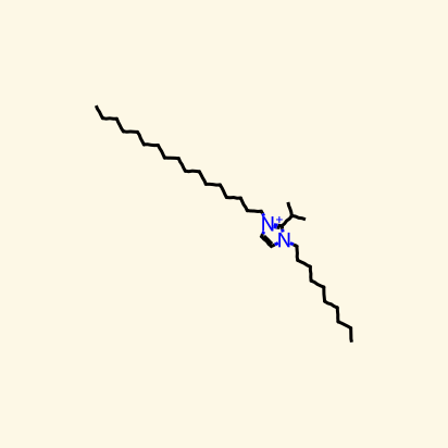 CCCCCCCCCCCCCCCCC[n+]1ccn(CCCCCCCCCC)c1C(C)C